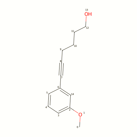 COc1cccc(C#CCCCCO)c1